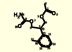 CC(=O)OC[C@H](COC(N)=O)c1ccccc1C